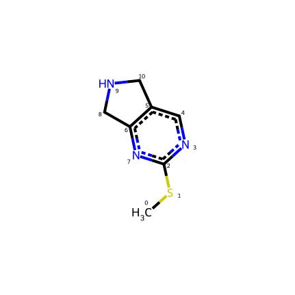 CSc1ncc2c(n1)CNC2